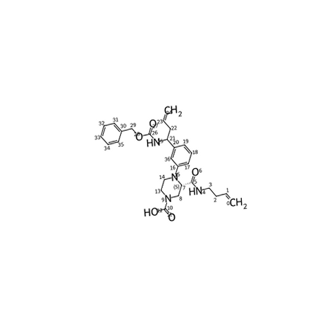 C=CCCNC(=O)[C@@H]1CN(C(=O)O)CCN1c1cccc(C(CC=C)NC(=O)OCc2ccccc2)c1